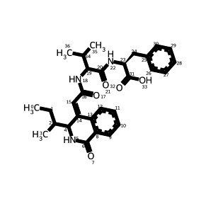 CCC(C)C1NC(=O)c2ccccc2/C1=C\C(=O)NC(C(=O)N[C@@H](Cc1ccccc1)C(=O)O)C(C)C